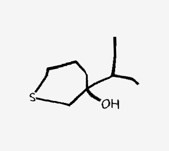 CC(C)C1(O)CCSC1